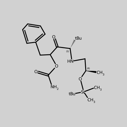 C[C@H](CN[C@H](C(=O)C(Cc1ccccc1)OC(N)=O)C(C)(C)C)O[Si](C)(C)C(C)(C)C